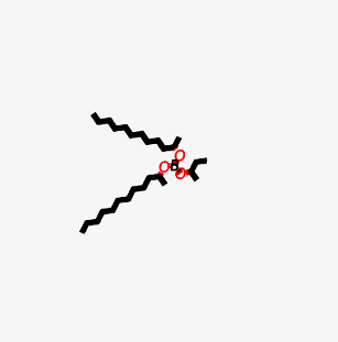 CCCCCCCCCCC(C)OB(OC(C)CC)OC(C)CCCCCCCCCC